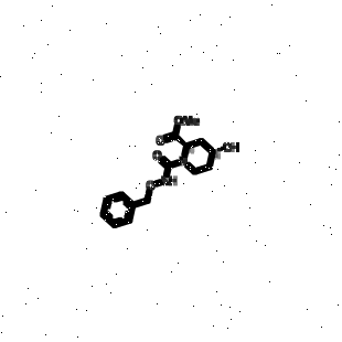 COC(=O)[C@H]1C[C@H](O)CCN1C(=O)NOCc1ccccc1